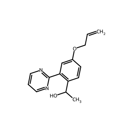 C=CCOc1ccc(C(C)O)c(-c2ncccn2)c1